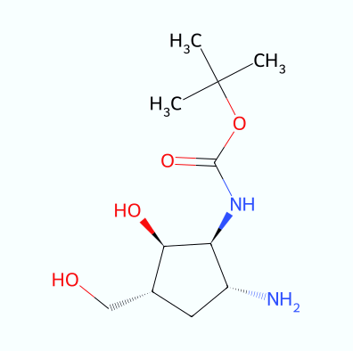 CC(C)(C)OC(=O)N[C@@H]1[C@H](O)[C@@H](CO)C[C@H]1N